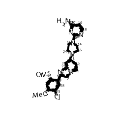 COc1cc(OC)c(-c2cn3ccc(N4CCN(c5nccc(N)n5)CC4)cc3n2)cc1Cl